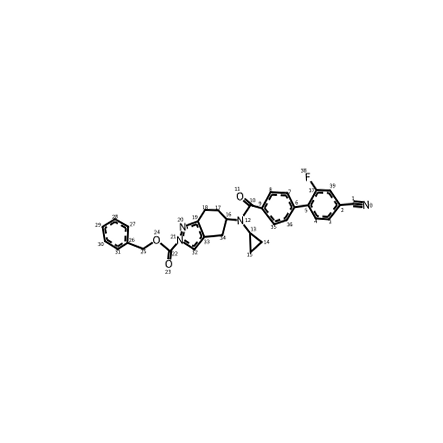 N#Cc1ccc(-c2ccc(C(=O)N(C3CC3)C3CCc4nn(C(=O)OCc5ccccc5)cc4C3)cc2)c(F)c1